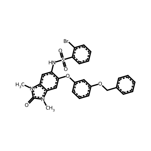 Cn1c(=O)n(C)c2cc(Oc3cccc(OCc4ccccc4)c3)c(NS(=O)(=O)c3ccccc3Br)cc21